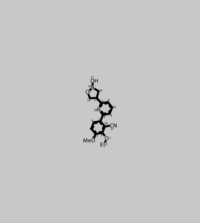 CCOc1c(OC)ccc(-c2cccc(C3COB(O)C3)n2)c1C#N